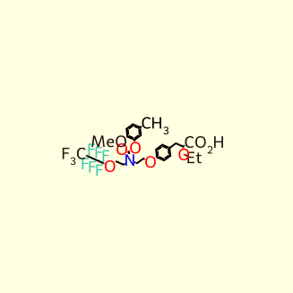 CCOC(Cc1ccc(OCCN(CCOC(F)(F)C(F)(F)C(F)(F)C(F)(F)F)C(=O)Oc2cc(C)ccc2OC)cc1)C(=O)O